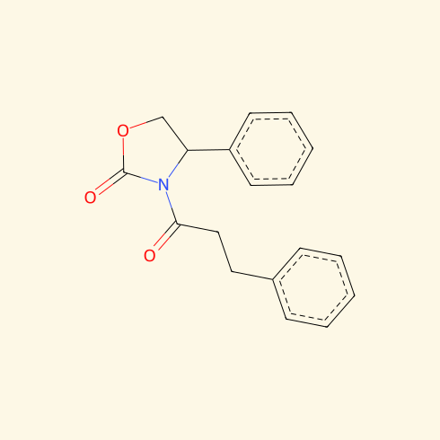 O=C(CCc1ccccc1)N1C(=O)OCC1c1ccccc1